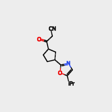 CC(C)c1cnc(C2CCC(C(=O)CC#N)C2)o1